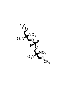 O=[N+]([O-])C(COC(F)(F)F)(COC(F)(F)OCC(COC(F)(F)F)([N+](=O)[O-])[N+](=O)[O-])[N+](=O)[O-]